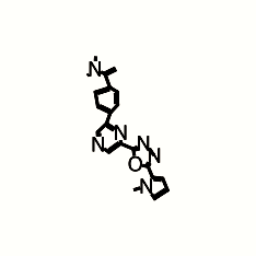 C=C(c1ccc(-c2cncc(-c3nnc(-c4cccn4C)o3)n2)cc1)N(C)C